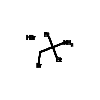 Br.CCC(N)(CC)CBr